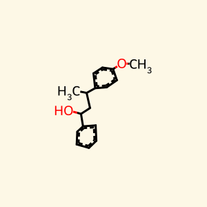 COc1ccc(C(C)CC(O)c2ccccc2)cc1